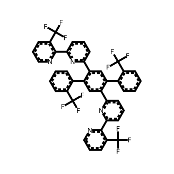 FC(F)(F)c1ccccc1-c1cc(-c2cccc(-c3ncccc3C(F)(F)F)n2)c(-c2ccccc2C(F)(F)F)cc1-c1cccc(-c2ncccc2C(F)(F)F)n1